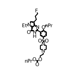 CCCOC(=O)OCCN1CCN(S(=O)(=O)c2ccc(OCCC)c(-c3nc4c(CCCF)cn(CC)c4c(=O)[nH]3)c2)CC1